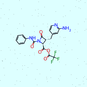 Nc1cc(C[C@H]2C(=O)N(C(=O)Nc3ccccc3)[C@@H]2C(=O)OC(=O)C(F)(F)F)ccn1